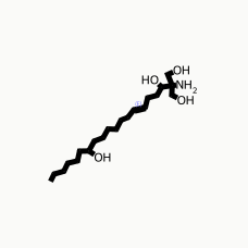 CCCCCCC(O)CCCCCC/C=C/CCC(O)C(N)(CO)CO